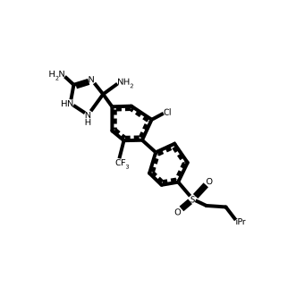 CC(C)CCS(=O)(=O)c1ccc(-c2c(Cl)cc(C3(N)N=C(N)NN3)cc2C(F)(F)F)cc1